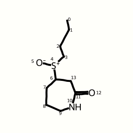 CCCC[S+]([O-])C1CCCNC(=O)C1